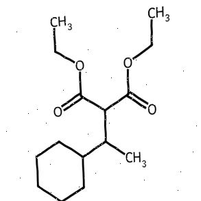 CCOC(=O)C(C(=O)OCC)C(C)C1CCCCC1